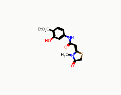 CCOC(=O)c1ccc(NC(=O)C=C2SCC(=O)N2C)cc1O